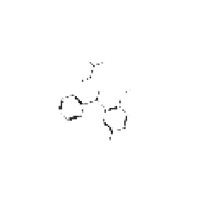 COc1ccc(C)cc1C(CC(N)C(C)C)c1ccccc1